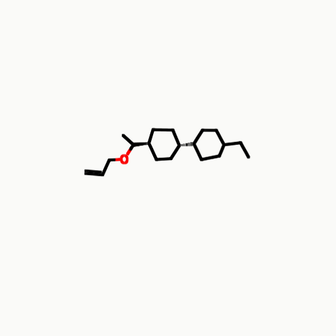 C=CCOC(C)[C@H]1CC[C@H](C2CCC(CC)CC2)CC1